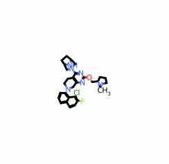 CN1CCCC1COc1nc2c(c(N3CC4CCC(C3)N4)n1)CCN(c1cccc3ccc(F)c(Cl)c13)C2